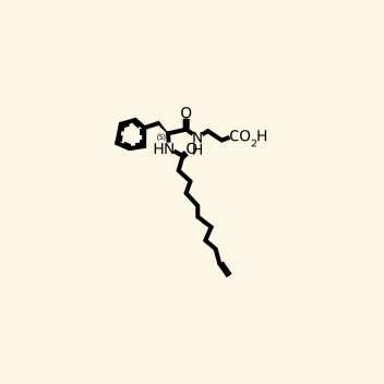 C=CCCCCCCCCC(=O)N[C@@H](Cc1ccccc1)C(=O)NCCC(=O)O